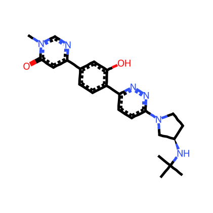 Cn1cnc(-c2ccc(-c3ccc(N4CC[C@@H](NC(C)(C)C)C4)nn3)c(O)c2)cc1=O